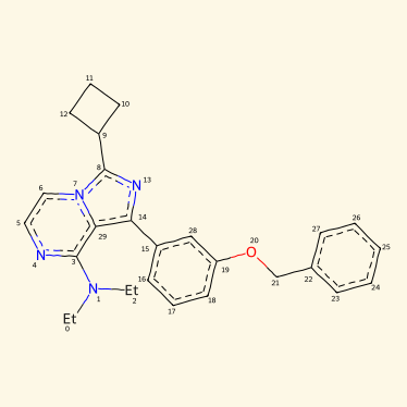 CCN(CC)c1nccn2c(C3CCC3)nc(-c3cccc(OCc4ccccc4)c3)c12